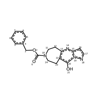 O=C(OCc1ccccc1)N1CCc2nc3ccnn3c(O)c2CC1